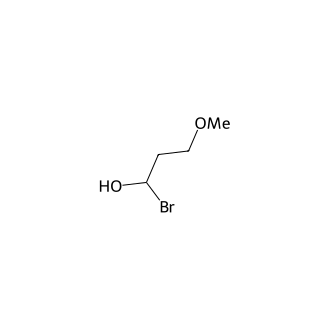 COCCC(O)Br